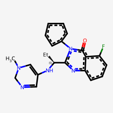 CC[C@H](NC1=CN(C)CN=C1)c1nc2cccc(F)c2c(=O)n1-c1ccccc1